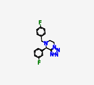 Fc1ccc(CN2CCn3nnnc3[C@H]2c2cccc(F)c2)cc1